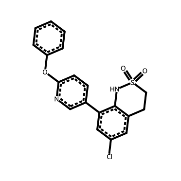 O=S1(=O)CCc2cc(Cl)cc(-c3ccc(Oc4ccccc4)nc3)c2N1